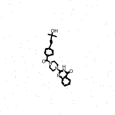 CC(C)(O)C#Cc1ccc(C(=O)N2CCN(c3nc4ccccc4c(=O)[nH]3)CC2)cc1